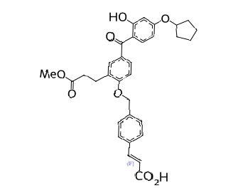 COC(=O)CCc1cc(C(=O)c2ccc(OC3CCCC3)cc2O)ccc1OCc1ccc(/C=C/C(=O)O)cc1